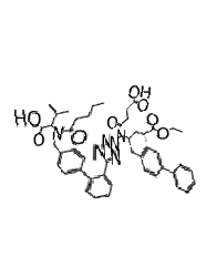 CCCCC(=O)N(Cc1ccc(-c2ccccc2-c2nnn(N(C(=O)CCC(=O)O)C(Cc3ccc(-c4ccccc4)cc3)C[C@@H](C)C(=O)OCC)n2)cc1)C(C(=O)O)C(C)C